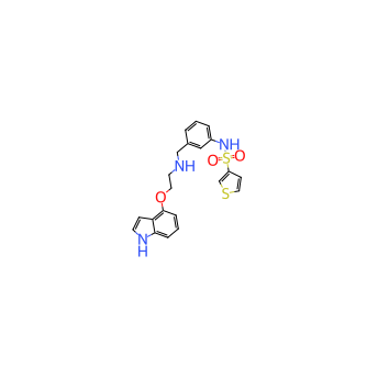 O=S(=O)(Nc1cccc(CNCCOc2cccc3[nH]ccc23)c1)c1ccsc1